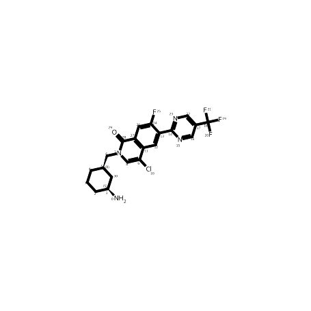 N[C@H]1CCC[C@@H](Cn2cc(Cl)c3cc(-c4ncc(C(F)(F)F)cn4)c(F)cc3c2=O)C1